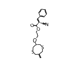 C=C1CSCC(OCCOC(=O)/C(C#N)=C/c2ccccc2)CSC1